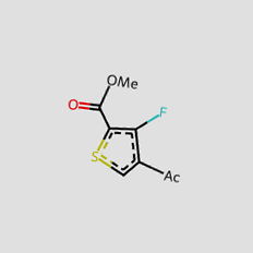 COC(=O)c1scc(C(C)=O)c1F